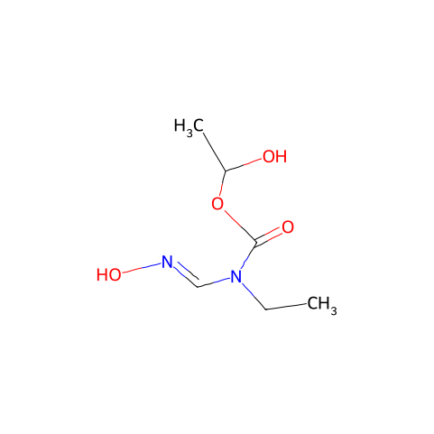 CCN(C=NO)C(=O)OC(C)O